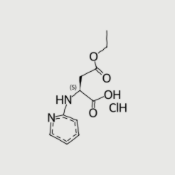 CCOC(=O)C[C@H](Nc1ccccn1)C(=O)O.Cl